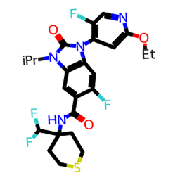 CCOc1cc(-n2c(=O)n(C(C)C)c3cc(C(=O)NC4(C(F)F)CCSCC4)c(F)cc32)c(F)cn1